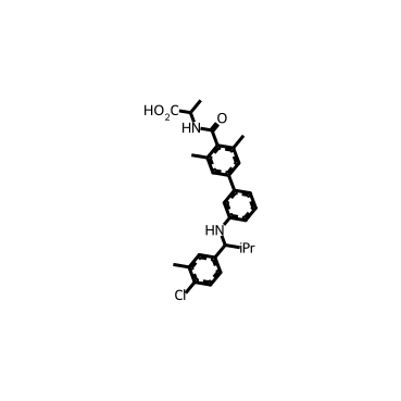 Cc1cc(C(Nc2cccc(-c3cc(C)c(C(=O)NC(C)C(=O)O)c(C)c3)c2)C(C)C)ccc1Cl